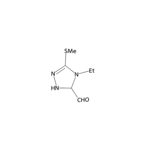 CCN1C(SC)=NNC1C=O